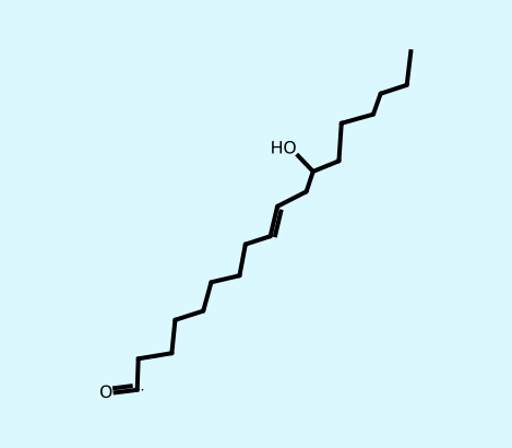 CCCCCCC(O)CC=CCCCCCCC[C]=O